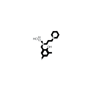 Cc1cc(I)cc(CN(C)CCCN2CCCCC2)c1O.Cl.Cl